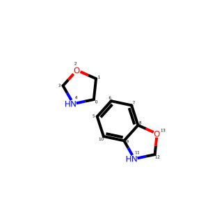 C1COCN1.c1ccc2c(c1)NCO2